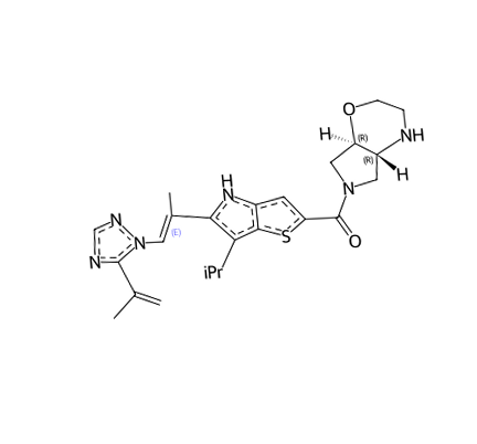 C=C(C)c1ncnn1/C=C(\C)c1[nH]c2cc(C(=O)N3C[C@H]4NCCO[C@@H]4C3)sc2c1C(C)C